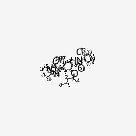 CCC[C@H](C)Oc1cc(-n2nc3n(c2=O)CCCC3)c(F)cc1C(=O)Nc1ccncc1Cl